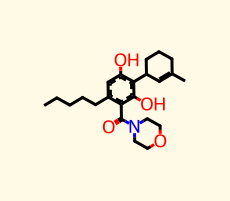 CCCCCc1cc(O)c(C2C=C(C)CCC2)c(O)c1C(=O)N1CCOCC1